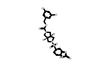 O=C(OCc1cc(Cl)cc(Cl)c1)N1C[C@@H]2CN(S(=O)(=O)c3ccc4[nH]c(=O)oc4c3)C[C@@H]2C1